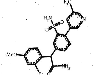 COc1ccc(C(C(N)=O)c2ccc(-c3cncc(C(F)(F)F)c3)c(S(N)(=O)=O)c2)c(F)c1